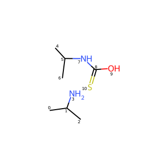 CC(C)N.CC(C)NC(O)=S